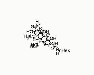 CCCCCCNCC(=O)Nc1ccc2c(c1O)C(=O)C1=C(O)C3(O)C(=O)C(C(N)=O)=C(O)[C@@H](N(C)C)C3CC1C2.Cl.Cl